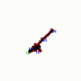 COC(=O)[C@@]1(OCCOCCOCCNC(=O)CCOCCOCCOCCOCCNC(C)=O)C[C@H](OC(C)=O)[C@@H](NC(=O)COC(C)=O)[C@H]([C@H](OC(C)=O)[C@@H](CNC(=O)Cc2ccc(Cl)cc2)OC(C)=O)O1